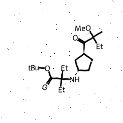 CCC(CC)(N[C@H]1CC[C@H](C(=O)C(C)(CC)OC)C1)C(=O)OC(C)(C)C